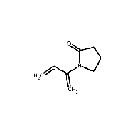 C=CC(=C)N1CCCC1=O